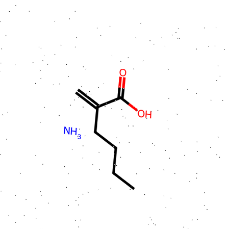 C=C(CCCC)C(=O)O.N